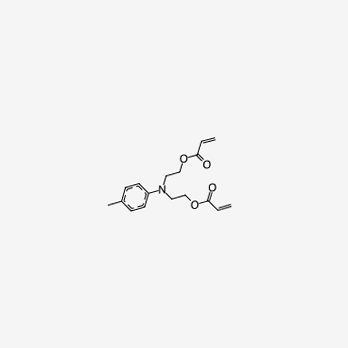 C=CC(=O)OCCN(CCOC(=O)C=C)c1ccc(C)cc1